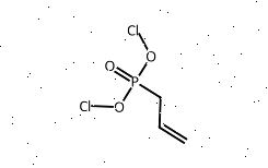 C=CCP(=O)(OCl)OCl